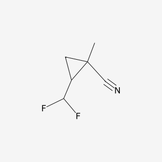 CC1(C#N)CC1C(F)F